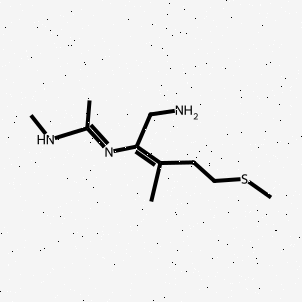 CN/C(C)=N/C(CN)=C(\C)CCSC